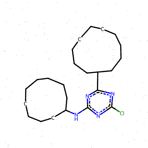 Clc1nc(NC2CCCCCCCCC2)nc(C2CCCCCCCCCC2)n1